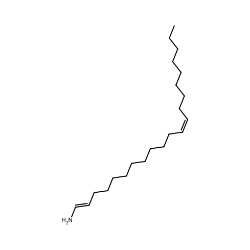 CCCCCCCC/C=C\CCCCCCCCCC=CN